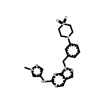 Cn1cc(Nc2ncc3cnn(Cc4cccc(N5CCS(=O)(=O)CC5)c4)c3n2)cn1